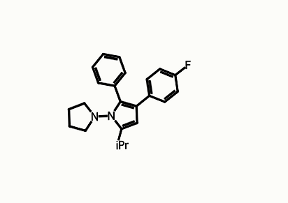 CC(C)c1cc(-c2ccc(F)cc2)c(-c2ccccc2)n1N1CCCC1